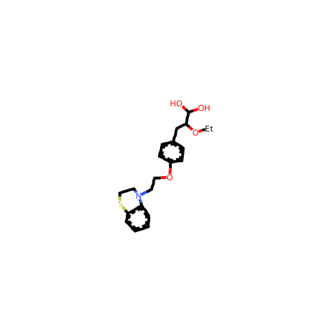 CCOC(Cc1ccc(OCCN2CCSc3ccccc32)cc1)C(O)O